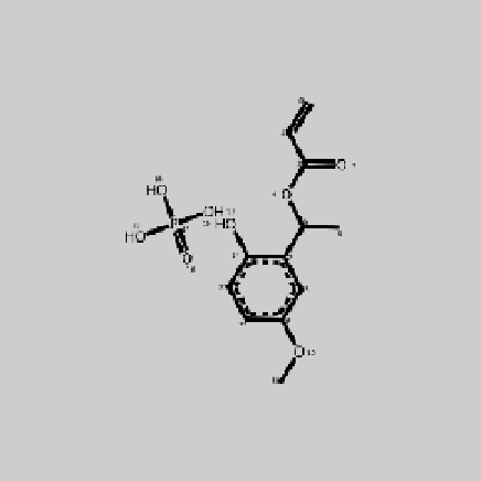 C=CC(=O)OC(C)c1cc(OC)ccc1O.O=P(O)(O)O